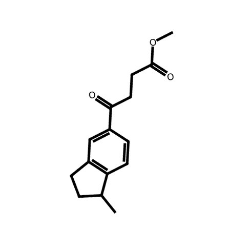 COC(=O)CCC(=O)c1ccc2c(c1)CCC2C